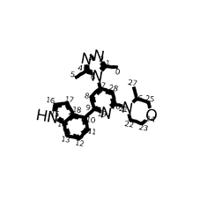 Cc1nnc(C)n1-c1cc(-c2cccc3[nH]ccc23)nc(N2CCOCC2C)c1